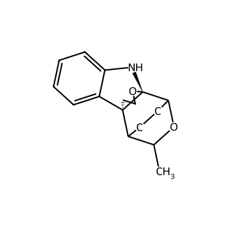 CC1OC2CCC1[C@]13CCO[C@]21Nc1ccccc13